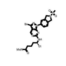 CC[C@@H](CCCC(=O)NC)Nc1ncc2c(Br)nn(-c3ccc4c(c3)CN(S(C)(=O)=O)C4)c2n1